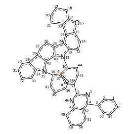 c1ccc(-c2nc(-c3ccc(-n4c5ccc6oc7ccccc7c6c5c5ccc6c7ccccc7n(-c7ccccc7)c6c54)cc3)nc3ccccc23)cc1